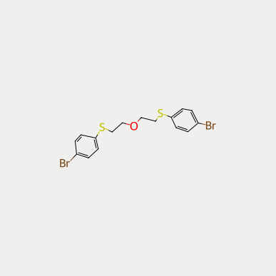 Brc1ccc(SCCOCCSc2ccc(Br)cc2)cc1